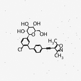 Cc1noc(C)c1C#Cc1ccc(Cc2cc([C@@H]3O[C@H](CO)[C@@H](O)[C@H](O)[C@H]3O)ccc2Cl)cc1